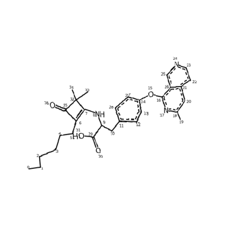 CCCCCCC1=C(NC(Cc2ccc(Oc3nc(C)cc4ccncc34)cc2)C(=O)O)C(C)(C)C1=O